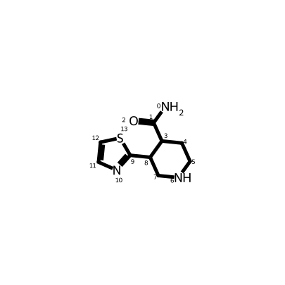 NC(=O)C1CCNCC1c1nccs1